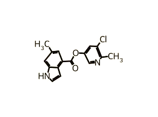 Cc1cc(C(=O)Oc2cnc(C)c(Cl)c2)c2cc[nH]c2c1